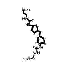 CCCCCCCCCCCCNC(=O)Nc1ccc(Cc2ccc(NC(=O)NCCCCCCCCCCCC)cc2)cc1